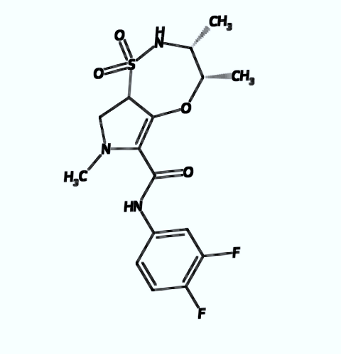 C[C@@H]1OC2=C(C(=O)Nc3ccc(F)c(F)c3)N(C)CC2S(=O)(=O)N[C@@H]1C